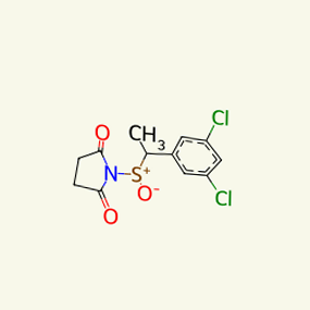 CC(c1cc(Cl)cc(Cl)c1)[S+]([O-])N1C(=O)CCC1=O